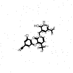 N#Cc1cc(Cl)cc(Oc2c(C(F)(F)F)ccn(CC3=CC(C(F)F)=NNC3O)c2=O)c1